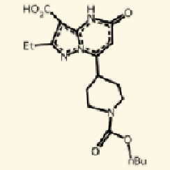 CCCCOC(=O)N1CCC(c2cc(=O)[nH]c3c(C(=O)O)c(CC)nn23)CC1